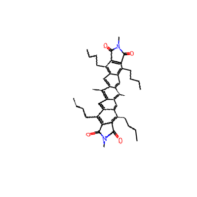 CCCCc1c2c(c(CCCC)c3cc4c(C)c5cc6c(CCCC)c7c(c(CCCC)c6cc5c(C)c4cc13)C(=O)N(C)C7=O)C(=O)N(C)C2=O